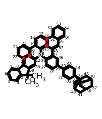 CC1(C)c2ccccc2-c2ccc(N(c3ccccc3-c3ccccc3)c3ccc(-c4ccc(C56CC7CC(CC(C7)C5)C6)cc4)cc3-c3ccc4ccccc4c3)cc21